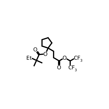 CCC(C)(C)C(=O)OC1(CCC(=O)OC(C(F)(F)F)C(F)(F)F)CCCC1